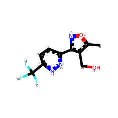 Cc1onc(-c2ccc(C(F)(F)F)nn2)c1CO